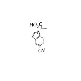 CC(C(=O)O)n1ccc2cc(C#N)ccc21